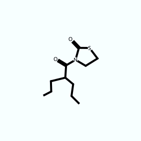 CCCC(CCC)C(=O)N1CCSC1=O